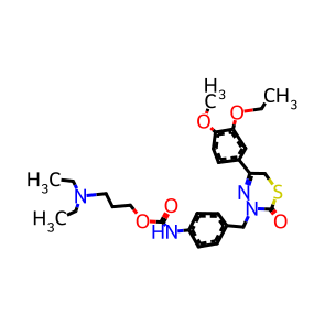 CCOc1cc(C2=NN(Cc3ccc(NC(=O)OCCCN(CC)CC)cc3)C(=O)SC2)ccc1OC